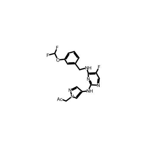 CC(=O)Cn1cc(Nc2ncc(F)c(NCc3cccc(OC(F)F)c3)n2)cn1